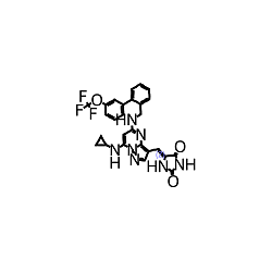 O=C1NC(=O)/C(=C/c2cnn3c(NC4CC4)cc(NCc4ccccc4-c4cccc(OC(F)(F)F)c4)nc23)N1